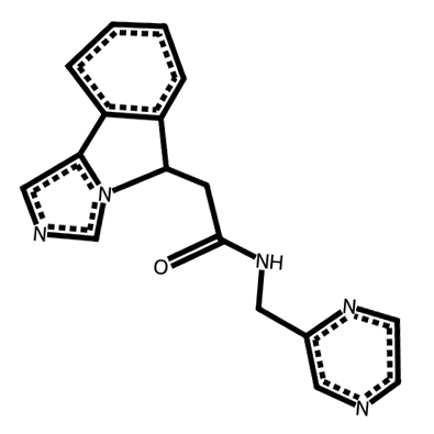 O=C(CC1c2ccccc2-c2cncn21)NCc1cnccn1